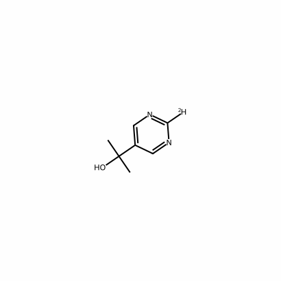 [2H]c1ncc(C(C)(C)O)cn1